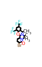 CC1Cn2c(ccc(Br)c2=O)C(=O)N1C(C)c1cc(C(F)(F)F)cc(C(F)(F)F)c1